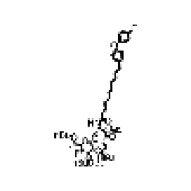 CCCCCCCCCCCCCC[C@H]1OC(C)(C)O[C@H]1[C@H](CO[C@@H](OC(CF)[C@H](C)OCCCC)[C@H](COCCCC)OCCCC)NC(=O)CCCCCCCCCCc1ccc(Oc2ccc(F)cc2)cc1